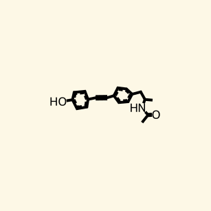 CC(=O)NC(C)Cc1ccc(C#Cc2ccc(O)cc2)cc1